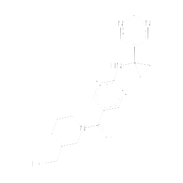 O=C(c1cnc(NC2(c3cncnc3)CC2)nc1)N1CCCC(CO)C1